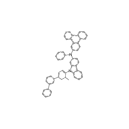 CC1CC(c2cccc(-c3ccccc3)c2)=CC=C1n1c2ccccc2c2ccc(N(c3ccccc3)c3ccc4c5ccccc5c5ccccc5c4c3)cc21